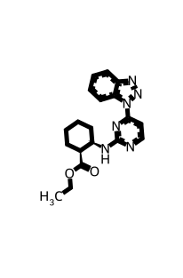 CCOC(=O)[C@H]1CCCC[C@H]1Nc1nccc(-n2nnc3ccccc32)n1